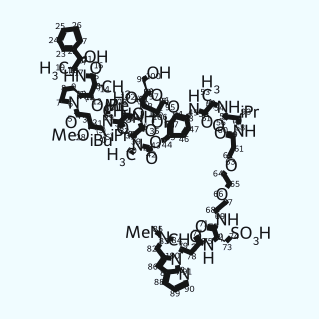 CC[C@H](C)[C@@H]([C@@H](CC(=O)N1CCC[C@H]1[C@H](OC)[C@@H](C)C(=O)N[C@H](C)[C@@H](O)c1ccccc1)OC)N(C)C(=O)[C@@H](NC(=O)[C@H](C(C)C)N(C)C(=O)OCc1ccc(NC(=O)[C@H](C)NC(=O)[C@@H](NC(=O)CCOCCOCCNC(=O)[C@H](CS(=O)(=O)O)NC(=O)CCn2c(CN(C)NC)cc3cccnc32)C(C)C)c(O[C@@H]2O[C@H](CO)[C@@H](O)[C@H](O)[C@@H]2O)c1)C(C)C